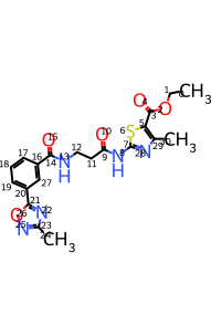 CCOC(=O)c1sc(NC(=O)CCNC(=O)c2cccc(-c3nc(C)no3)c2)nc1C